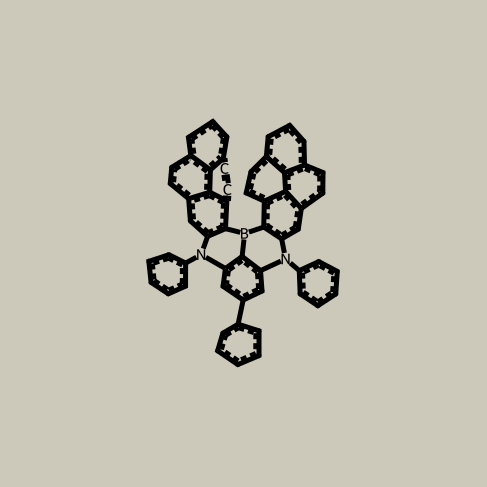 c1ccc(-c2cc3c4c(c2)N(c2ccccc2)c2cc5ccc6cccc7ccc(c2B4c2c(cc4ccc8cccc9ccc2c4c89)N3c2ccccc2)c5c67)cc1